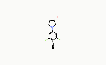 C#Cc1c(F)cc(N2CC[C@H](O)C2)cc1F